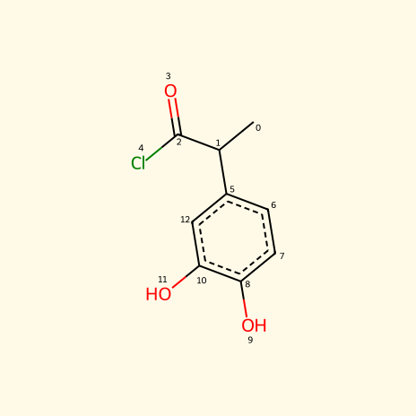 CC(C(=O)Cl)c1ccc(O)c(O)c1